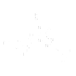 CCc1c(N2CCNCC2)c(=O)n2nc(C#CC3(C)COC3)nc2n1CC(=O)Nc1ccc(C(F)(F)F)cc1Cl